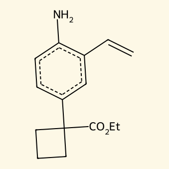 C=Cc1cc(C2(C(=O)OCC)CCC2)ccc1N